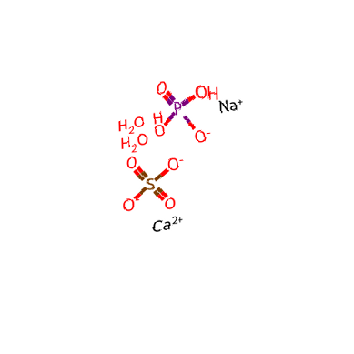 O.O.O=P([O-])(O)O.O=S(=O)([O-])[O-].[Ca+2].[Na+]